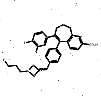 O=C(O)c1ccc2c(c1)CCCC(c1ccc(F)c(C(F)(F)F)c1)=C2c1ccc(C=C2CN(CCCF)C2)cc1